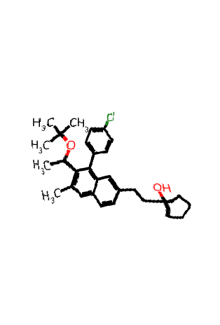 Cc1cc2ccc(CCC3(O)CCCC3)cc2c(-c2ccc(Cl)cc2)c1C(C)OC(C)(C)C